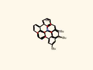 CC(C)(C)c1ccc(N(c2ccccc2-c2cc(C(C)(C)C)cc(C(C)(C)C)c2)c2ccccc2-c2cccc3cccc(-c4cc(C(C)(C)C)cc(C(C)(C)C)c4)c23)cc1